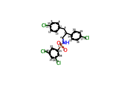 O=S(=O)(NCC(Cc1ccc(Cl)cc1)c1ccc(Cl)cc1)c1cc(Cl)cc(Cl)c1